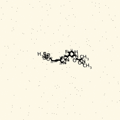 Cc1nc(C)c(C(=O)Nc2ccc(F)c(-c3cn4cc(C#CCCOS(C)(=O)=O)cnc4n3)c2)o1